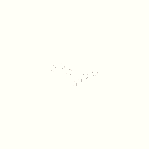 ClC1=NC(c2ccc(-c3cccc(-c4ccccc4)c3)cc2)=CC(c2ccc(-c3ccccc3)cc2)N1